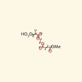 COC(=O)C=CC(=O)OCCOC(=O)C(C)=CC(=O)O